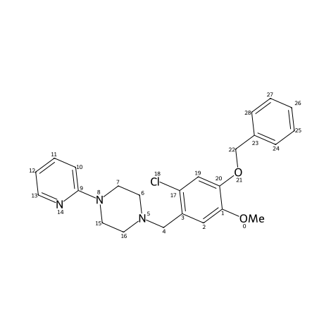 COc1cc(CN2CCN(c3ccccn3)CC2)c(Cl)cc1OCc1ccccc1